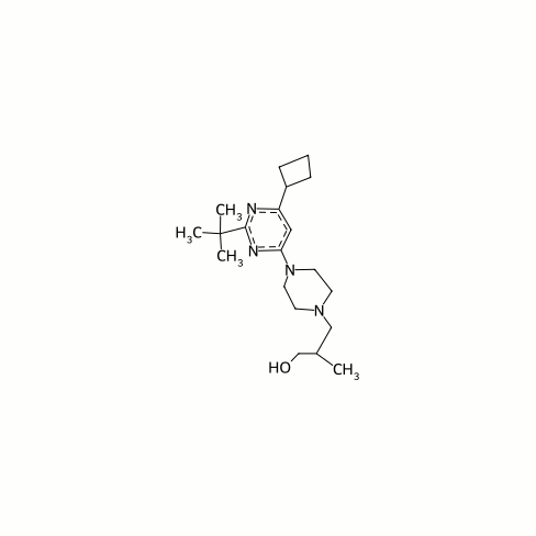 CC(CO)CN1CCN(c2cc(C3CCC3)nc(C(C)(C)C)n2)CC1